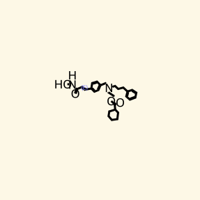 O=C(/C=C/c1ccc(CN(CCCc2ccccc2)CCOC(=O)C2CCCCC2)cc1)NO